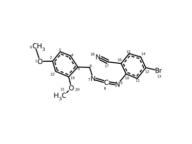 COc1ccc(CN=C=Nc2cc(Br)ccc2C#N)c(OC)c1